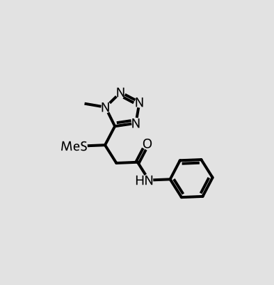 CSC(CC(=O)Nc1ccccc1)c1nnnn1C